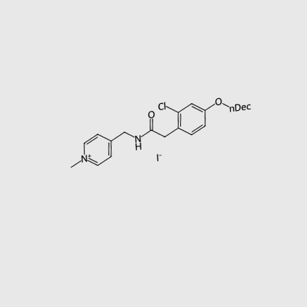 CCCCCCCCCCOc1ccc(CC(=O)NCc2cc[n+](C)cc2)c(Cl)c1.[I-]